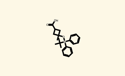 CC1(O[Si](c2ccccc2)(c2ccccc2)C(C)(C)C)CC(C(=O)O)C1